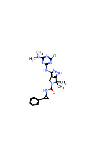 CN(C)c1nc(Cl)nc(Nc2n[nH]c3c2CN(C(=O)NC2CC2c2ccccc2)C3(C)C)n1